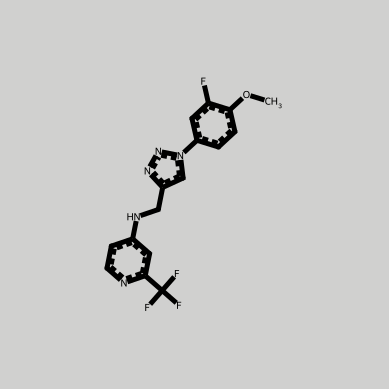 COc1ccc(-n2cc(CNc3ccnc(C(F)(F)F)c3)nn2)cc1F